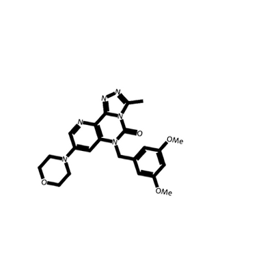 COc1cc(Cn2c(=O)n3c(C)nnc3c3ncc(N4CCOCC4)cc32)cc(OC)c1